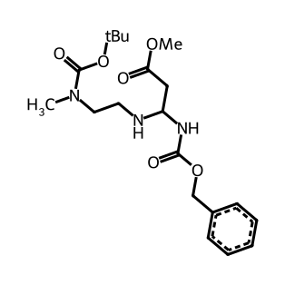 COC(=O)CC(NCCN(C)C(=O)OC(C)(C)C)NC(=O)OCc1ccccc1